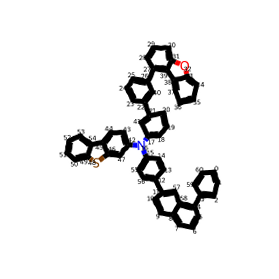 c1ccc(-c2cccc3ccc(-c4ccc(N(c5cccc(-c6cccc(-c7cccc8oc9ccccc9c78)c6)c5)c5ccc6c(c5)sc5ccccc56)cc4)cc23)cc1